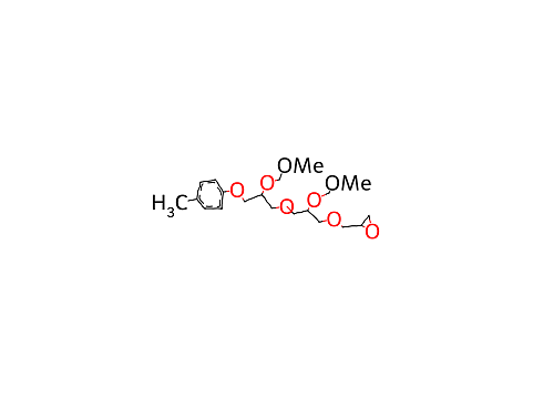 COCOC(COCC(COc1ccc(C)cc1)OCOC)COCC1CO1